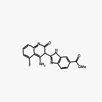 COC(=O)c1ccc2nc(C3C(=O)N=c4cccc(F)c4=C3N)[nH]c2c1